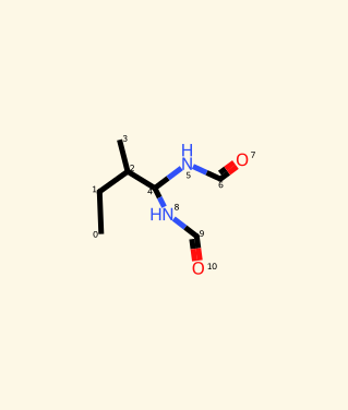 CCC(C)C(NC=O)NC=O